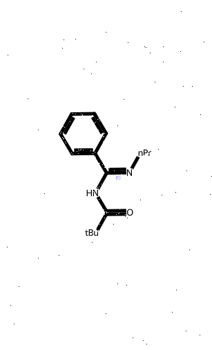 CCC/N=C(/NC(=O)C(C)(C)C)c1ccccc1